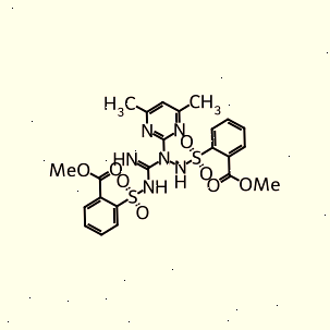 COC(=O)c1ccccc1S(=O)(=O)NC(=N)N(NS(=O)(=O)c1ccccc1C(=O)OC)c1nc(C)cc(C)n1